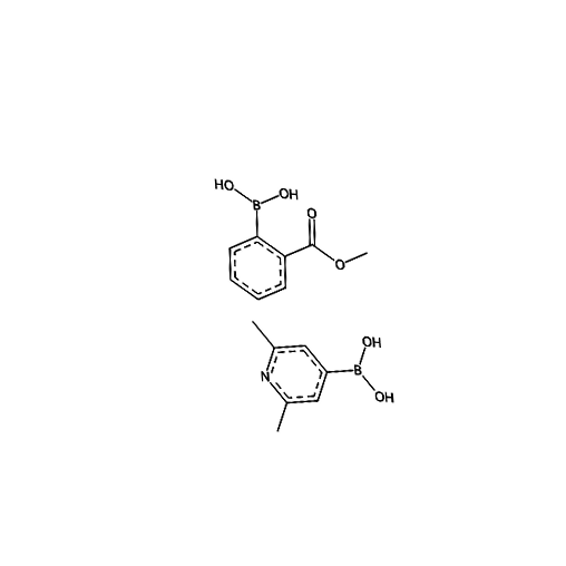 COC(=O)c1ccccc1B(O)O.Cc1cc(B(O)O)cc(C)n1